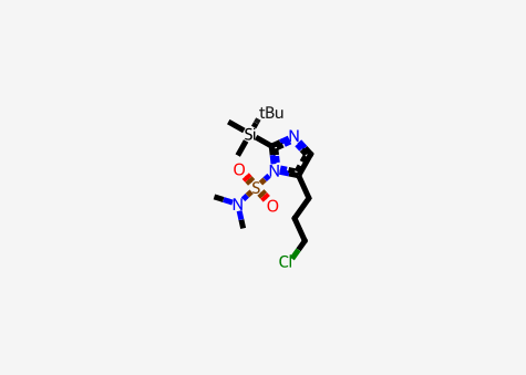 CN(C)S(=O)(=O)n1c(CCCCl)cnc1[Si](C)(C)C(C)(C)C